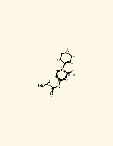 CC(C)(C)OC(=O)Nc1ccn(C2=CCOCC2)c(=O)c1